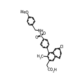 COc1ccc(CNS(=O)(=O)c2ccc(-c3c(C)c(CC(=O)O)cc4ccc(Cl)cc34)cc2)cc1